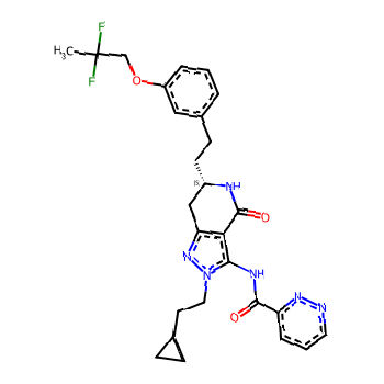 CC(F)(F)COc1cccc(CC[C@H]2Cc3nn(CCC4CC4)c(NC(=O)c4cccnn4)c3C(=O)N2)c1